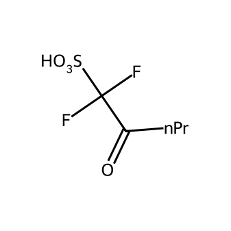 CCCC(=O)C(F)(F)S(=O)(=O)O